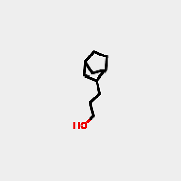 OCCCC1CC2CCC1C2